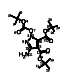 CC(C)(C)OC(=O)On1nc(N)c(C(=O)OC(C)(C)C)c1C(=O)OC(C)(C)C